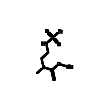 CCS(=O)(=O)NCCN(C)C(=O)OC(C)(C)C